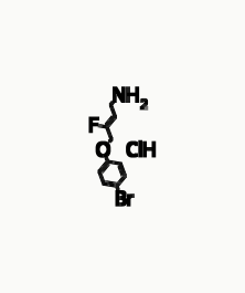 Cl.NC/C=C(\F)COc1ccc(Br)cc1